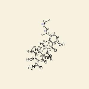 C/C=C\C=C(/C)c1ccc(O)c2c1C[C@H]1C[C@H]3[C@H](N(C)C)C(O)=C(C(N)=O)C(=O)[C@@]3(O)C(O)=C1C2=O